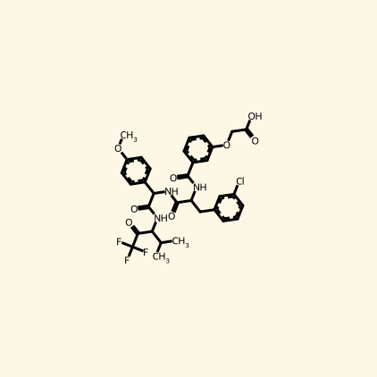 COc1ccc(C(NC(=O)C(Cc2cccc(Cl)c2)NC(=O)c2cccc(OCC(=O)O)c2)C(=O)NC(C(=O)C(F)(F)F)C(C)C)cc1